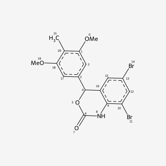 COc1cc(C2OC(=O)Nc3c(Br)cc(Br)cc32)cc(OC)c1C